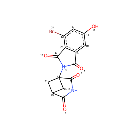 O=C1NC(=O)C2(N3C(=O)c4cc(O)cc(Br)c4C3=O)CC1C2